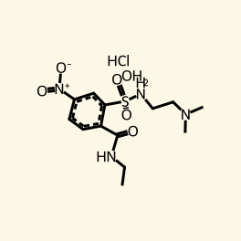 CCNC(=O)c1ccc([N+](=O)[O-])cc1S(=O)(=O)NCCN(C)C.Cl.O